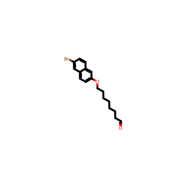 O=CCCCCCCCOc1ccc2cc(Br)ccc2c1